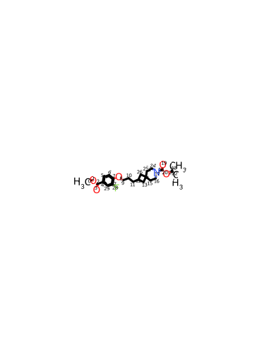 COC(=O)c1ccc(OCCCC2CC3(CCN(C(=O)OC(C)C)CC3)C2)c(F)c1